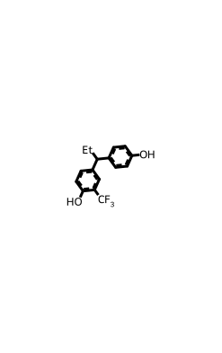 CCC(c1ccc(O)cc1)c1ccc(O)c(C(F)(F)F)c1